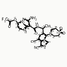 CC(NC(=O)c1c(N)nn2c(OC(=O)C(F)(F)F)ccnc12)c1cc(Cl)c2c(C#N)ncn2c1N1CCS(=O)(=O)CC1